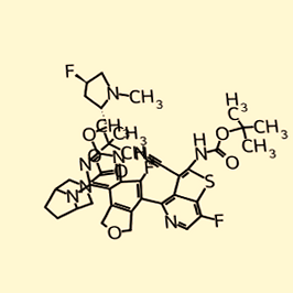 CN1C[C@H](F)C[C@H]1COc1nc(N2C3CCC2CN(C(=O)OC(C)(C)C)C3)c2c3c(c(-c4ncc(F)c5sc(NC(=O)OC(C)(C)C)c(C#N)c45)c(F)c2n1)COC3